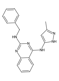 Cc1cc(Nc2nc(NCc3ccccc3)nc3ccccc23)[nH]n1